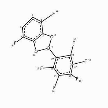 Fc1ccc(F)c2c1OB(c1c(F)c(F)c(F)c(F)c1F)O2